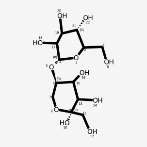 OCC1O[C@H](O[C@@H]2CO[C@](O)(CO)C(O)C2O)C(O)C(O)[C@@H]1O